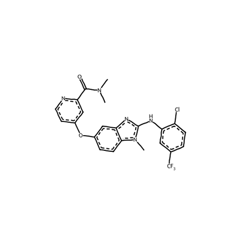 CN(C)C(=O)c1cc(Oc2ccc3c(c2)nc(Nc2cc(C(F)(F)F)ccc2Cl)n3C)ccn1